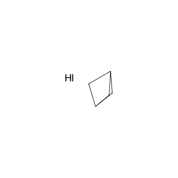 C1C2CC1C2.I